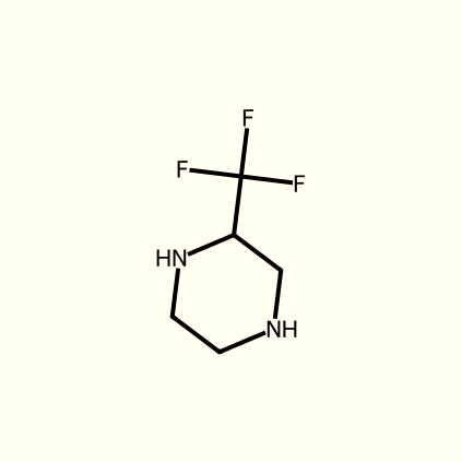 FC(F)(F)C1CNCCN1